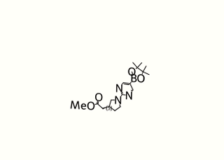 COC(=O)C[C@@H]1CCN(c2ncc(B3OC(C)(C)C(C)(C)O3)cn2)C1